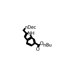 CCCCCCCCCCCc1cc2ccc(C(=O)OCCCC)cc2[nH]1